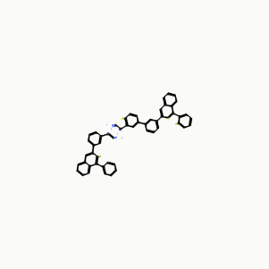 c1cc(-c2ccc3sc4nc(-c5cccc(-c6cc7ccccc7c7c6sc6ccccc67)c5)cnc4c3c2)cc(-c2cc3ccccc3c3c2sc2ccccc23)c1